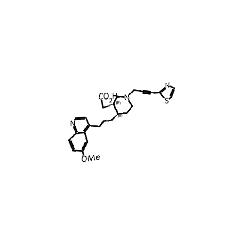 COc1ccc2nccc(CCC[C@@H]3CCN(CC#Cc4nccs4)C[C@@H]3CC(=O)O)c2c1